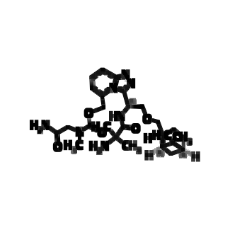 CN(CC(N)=O)C(=O)OCc1cccc2nnc([C@@H](COC[C@H]3CC[C@H]4C[C@@H]3C4(C)C)NC(=O)C(C)(C)N)n12